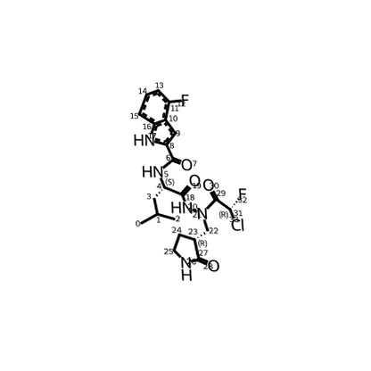 CC(C)C[C@H](NC(=O)c1cc2c(F)cccc2[nH]1)C(=O)NN(C[C@H]1CCNC1=O)C(=O)[C@H](F)Cl